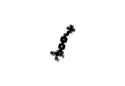 [2H]C([2H])([2H])OCCOc1ccc(N2CCN(C(=O)OC(C)(C)C)CC2)cc1